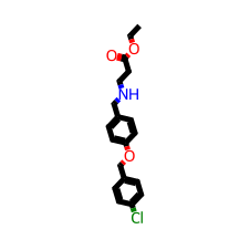 CCOC(=O)CCNCc1ccc(OCc2ccc(Cl)cc2)cc1